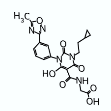 Cc1nc(-c2cccc(-n3c(O)c(C(=O)NCC(=O)O)c(=O)n(CCC4CC4)c3=O)c2)no1